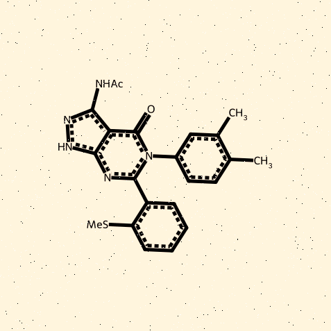 CSc1ccccc1-c1nc2[nH]nc(NC(C)=O)c2c(=O)n1-c1ccc(C)c(C)c1